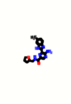 Cc1ccc2nc(-c3nc(C(=O)NCC4CCCO4)cnc3N)[nH]c2c1